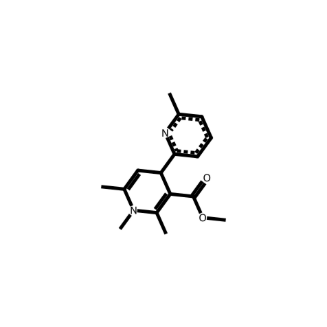 COC(=O)C1=C(C)N(C)C(C)=CC1c1cccc(C)n1